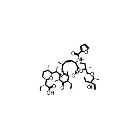 CC[C@@H](C(=O)[C@@H](C)[C@@H](O)[C@H](C)[C@@H]1O[C@@H]([C@@H](CC)C(=O)O)CC[C@@H]1C)[C@H]1OO[C@@]2(CC[C@@](C)([C@H]3CC[C@](O)(CC)[C@H](C)O3)O2)[C@H](NC(=O)c2ccco2)/C=C\[C@H](C)C[C@@H]1C